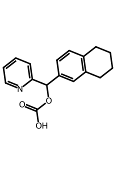 O=C(O)OC(c1ccc2c(c1)CCCC2)c1ccccn1